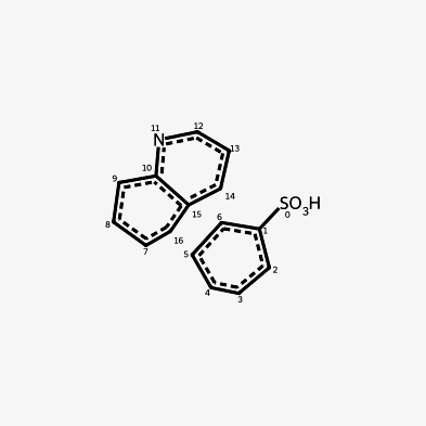 O=S(=O)(O)c1ccccc1.c1ccc2ncccc2c1